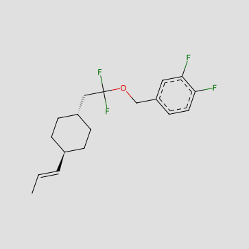 CC=C[C@H]1CC[C@H](CC(F)(F)OCc2ccc(F)c(F)c2)CC1